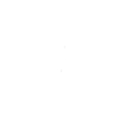 C=C(F)c1ccc(C)cc1-c1c(F)cccc1F